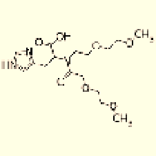 COCCOCCN(C(=O)COCCOC)C(Cc1c[nH]cn1)C(=O)O